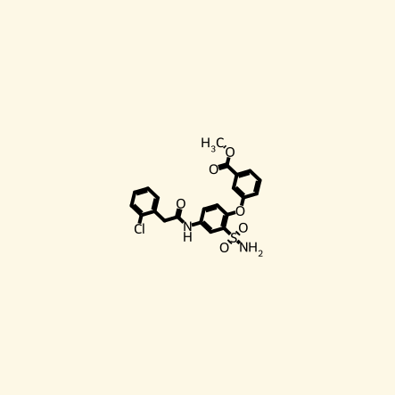 COC(=O)c1cccc(Oc2ccc(NC(=O)Cc3ccccc3Cl)cc2S(N)(=O)=O)c1